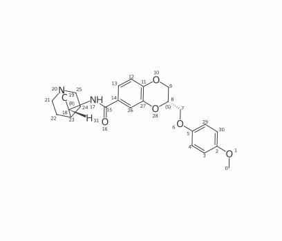 COc1ccc(OC[C@H]2COc3ccc(C(=O)N[C@H]4CN5CCC4CC5)cc3O2)cc1